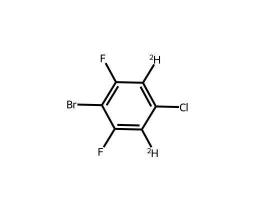 [2H]c1c(F)c(Br)c(F)c([2H])c1Cl